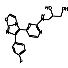 OCC(O)CNc1nccc(-c2c(-c3ccc(F)cc3)nc3occn23)n1